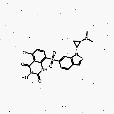 CN(C)[C@@H]1C[C@H]1n1ncc2ccc(S(=O)(=O)c3ccc(Cl)c4c(=O)n(O)c(=O)[nH]c34)cc21